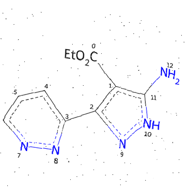 CCOC(=O)c1c(-c2cccnn2)n[nH]c1N